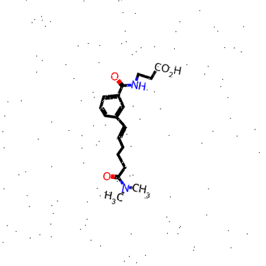 CN(C)C(=O)CCCC=Cc1cccc(C(=O)NCCC(=O)O)c1